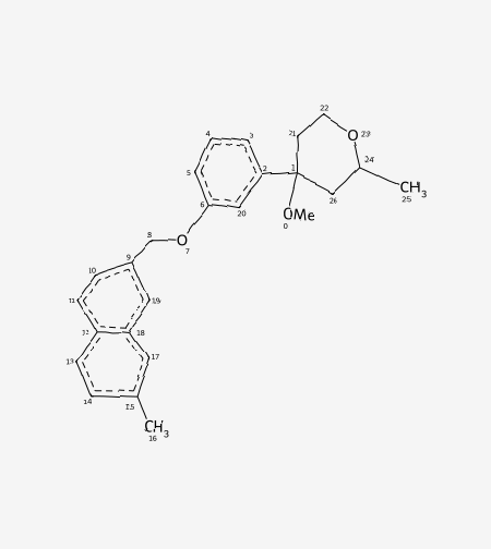 COC1(c2cccc(OCc3ccc4ccc(C)cc4c3)c2)CCOC(C)C1